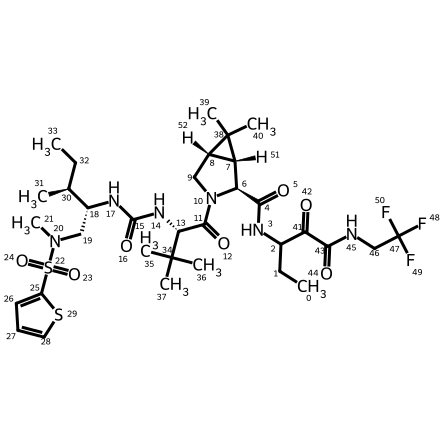 CCC(NC(=O)[C@@H]1[C@@H]2[C@H](CN1C(=O)[C@@H](NC(=O)N[C@H](CN(C)S(=O)(=O)c1cccs1)[C@@H](C)CC)C(C)(C)C)C2(C)C)C(=O)C(=O)NCC(F)(F)F